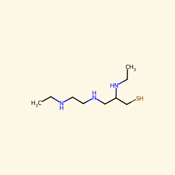 CCNCCNCC(CS)NCC